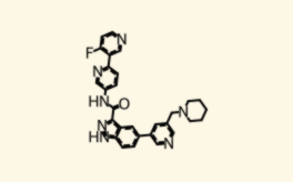 O=C(Nc1ccc(-c2cnccc2F)nc1)c1n[nH]c2ccc(-c3cncc(CN4CCCCC4)c3)cc12